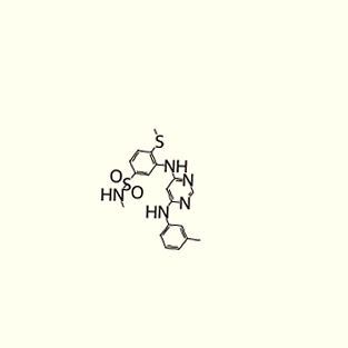 CNS(=O)(=O)c1ccc(SC)c(Nc2cc(Nc3cccc(C)c3)ncn2)c1